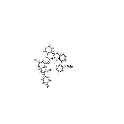 COc1ccccc1-c1nccc(COc2ccccc2CC(Oc2cc(F)cc3oc(-c4ccc(F)cc4)c(Br)c23)C(=O)O)n1